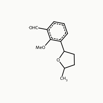 COc1c([C]=O)cccc1C1CCC(C)O1